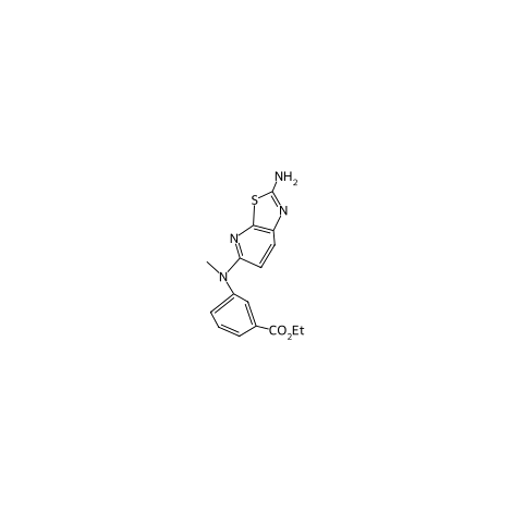 CCOC(=O)c1cccc(N(C)c2ccc3nc(N)sc3n2)c1